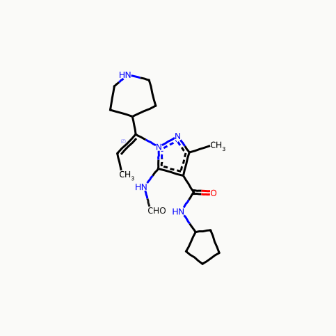 C/C=C(/C1CCNCC1)n1nc(C)c(C(=O)NC2CCCC2)c1NC=O